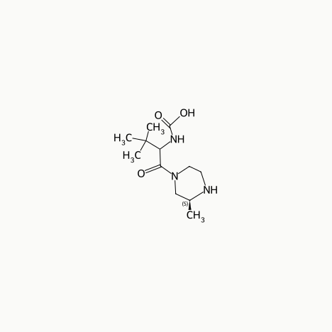 C[C@H]1CN(C(=O)C(NC(=O)O)C(C)(C)C)CCN1